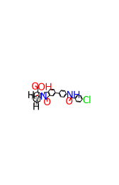 O=C(Nc1ccc(-c2ccc3c(c2)C(=O)N(C24C[C@@H]5C[C@@H](CC(C(=O)O)(C5)C2)C4)C3)cc1)c1ccc(Cl)cc1